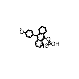 COc1ccc(-c2c3ccccc3c(OB(O)O)c3ccccc23)cc1